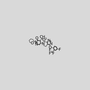 CC(=O)c1c(N2CCc3c(ncnc3Oc3ccc(F)cc3C(F)(F)F)C2)cnn(C2CCCCO2)c1=O